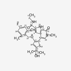 CCNC(=O)c1cc2c(-c3sc(C(C)(C)O)cc3OCc3c(C)cc(F)cc3C)cn(C)c(=O)c2[nH]1